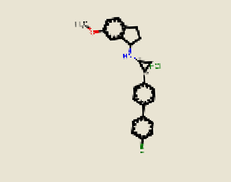 COc1ccc2c(c1)C(N[C@@H]1C[C@H]1c1ccc(-c3ccc(Cl)cc3)cc1)CC2.Cl